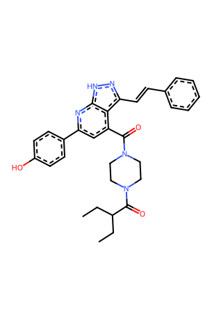 CCC(CC)C(=O)N1CCN(C(=O)c2cc(-c3ccc(O)cc3)nc3[nH]nc(/C=C/c4ccccc4)c23)CC1